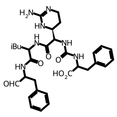 CCC(C)C(NC(=O)C(NC(=O)NC(Cc1ccccc1)C(=O)O)[C@@H]1CCN=C(N)N1)C(=O)NC(C=O)Cc1ccccc1